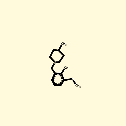 COc1cccc(CN2CCC(C)CC2)c1O